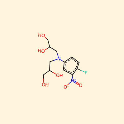 O=[N+]([O-])c1cc(N(CC(O)CO)CC(O)CO)ccc1F